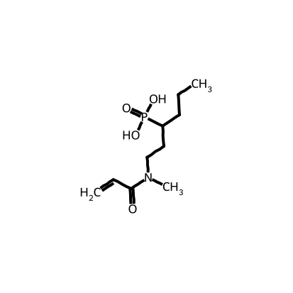 C=CC(=O)N(C)CCC(CCC)P(=O)(O)O